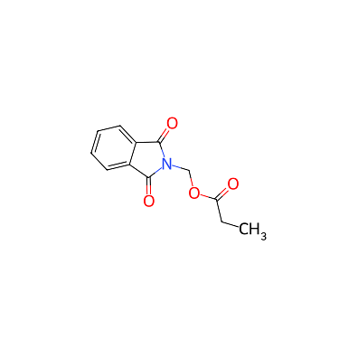 CCC(=O)OCN1C(=O)c2ccccc2C1=O